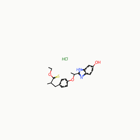 CCOC(=S)C(C)Cc1ccc(OC(C)c2nc3ccc(O)cc3[nH]2)cc1.Cl